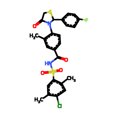 Cc1cc(S(=O)(=O)NC(=O)c2ccc(N3C(=O)CSC3c3ccc(F)cc3)c(C)c2)c(C)cc1Cl